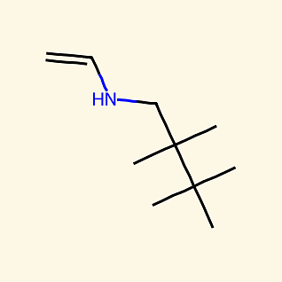 C=CNCC(C)(C)C(C)(C)C